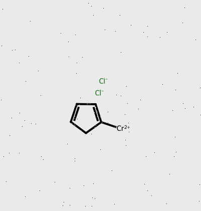 [Cl-].[Cl-].[Cr+2][C]1=CC=CC1